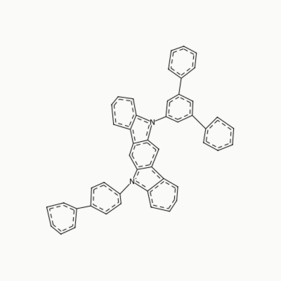 c1ccc(-c2ccc(-n3c4ccccc4c4cc5c(cc43)c3ccccc3n5-c3cc(-c4ccccc4)cc(-c4ccccc4)c3)cc2)cc1